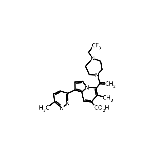 C=C(c1c(C)c(C(=O)O)cc2c(-c3ccc(C)nn3)ccn12)N1CCN(CC(F)(F)F)CC1